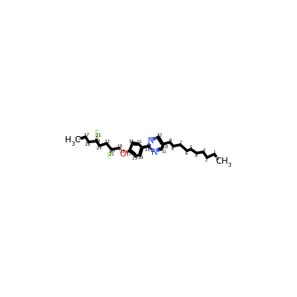 CCCCCCCCCCc1cnc(-c2ccc(OCC(F)CCC(F)CCC)cc2)nc1